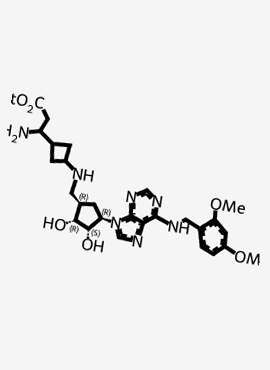 CCOC(=O)CC(N)C1CC(NC[C@H]2C[C@@H](n3cnc4c(NCc5ccc(OC)cc5OC)ncnc43)[C@H](O)[C@@H]2O)C1